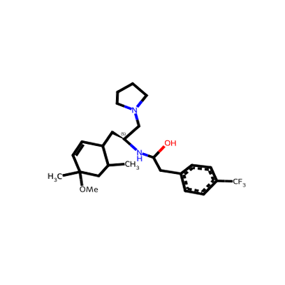 COC1(C)C=CC(C[C@@H](CN2CCCC2)NC(O)Cc2ccc(C(F)(F)F)cc2)C(C)C1